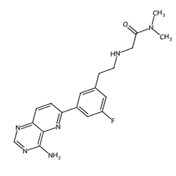 CN(C)C(=O)CNCCc1cc(F)cc(-c2ccc3ncnc(N)c3n2)c1